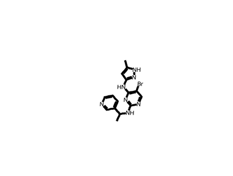 Cc1cc(Nc2nc(NC(C)c3cccnc3)ncc2Br)n[nH]1